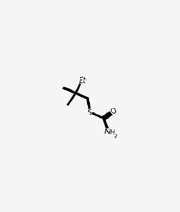 C[CH]C(C)(C)CSC(N)=O